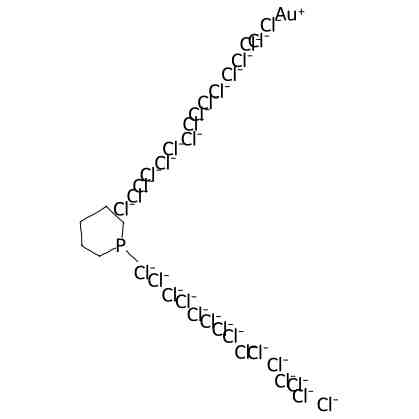 CP1CCCCC1.[Au+].[Cl-].[Cl-].[Cl-].[Cl-].[Cl-].[Cl-].[Cl-].[Cl-].[Cl-].[Cl-].[Cl-].[Cl-].[Cl-].[Cl-].[Cl-].[Cl-].[Cl-].[Cl-].[Cl-].[Cl-].[Cl-].[Cl-].[Cl-].[Cl-].[Cl-].[Cl-].[Cl-].[Cl-].[Cl-].[Cl-].[Cl-]